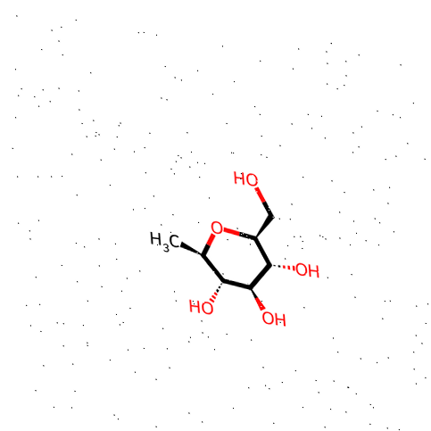 C[C@H]1O[C@@H](CO)[C@H](O)[C@@H](O)[C@@H]1O